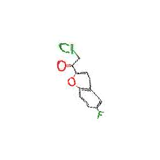 O=C(CCl)C1=CCc2cc(F)ccc2O1